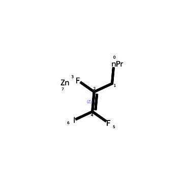 CCCC/C(F)=C(\F)I.[Zn]